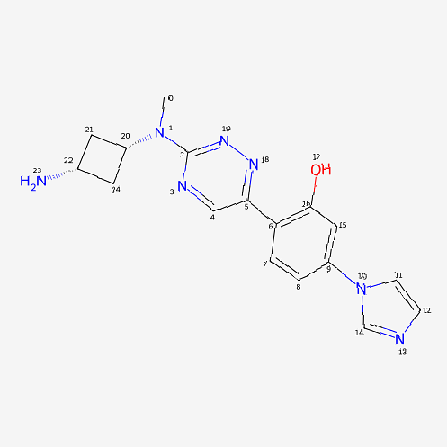 CN(c1ncc(-c2ccc(-n3ccnc3)cc2O)nn1)[C@H]1C[C@@H](N)C1